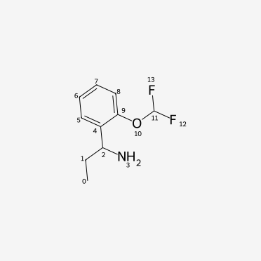 CCC(N)c1ccccc1OC(F)F